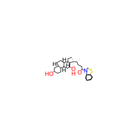 C[C@H](CCC(=O)N1CSc2ccccc21)[C@H]1CC[C@H]2[C@@H]3CC[C@@H]4C[C@H](O)CC[C@]4(C)[C@H]3C[C@H](O)[C@]12C